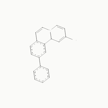 CC(C)(C)C1=CC2c3cc(-c4ccccc4)ccc3C=CN2C=C1